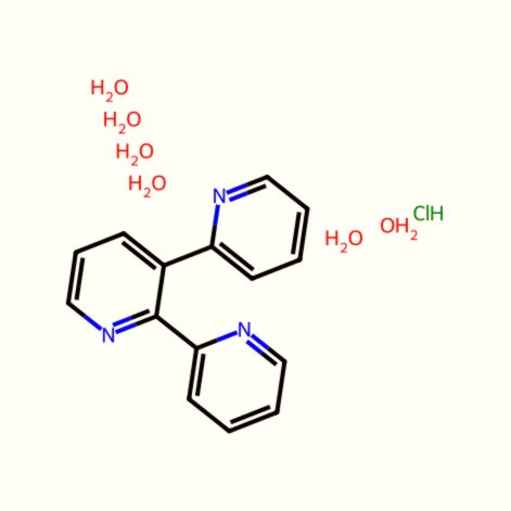 Cl.O.O.O.O.O.O.c1ccc(-c2cccnc2-c2ccccn2)nc1